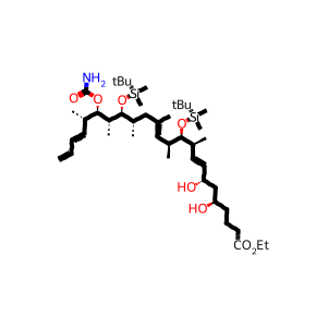 C=CC=C[C@H](C)[C@H](OC(N)=O)[C@@H](C)[C@H](O[Si](C)(C)C(C)(C)C)[C@@H](C)CC(C)=C[C@H](C)[C@@H](O[Si](C)(C)C(C)(C)C)[C@@H](C)C=C[C@@H](O)C[C@H](O)CCCC(=O)OCC